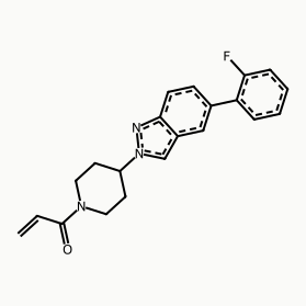 C=CC(=O)N1CCC(n2cc3cc(-c4ccccc4F)ccc3n2)CC1